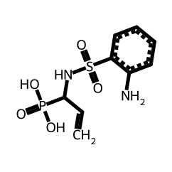 C=CC(NS(=O)(=O)c1ccccc1N)P(=O)(O)O